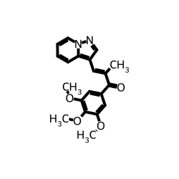 COc1cc(C(=O)/C(C)=C/c2cnn3ccccc23)cc(OC)c1OC